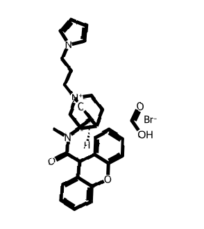 CN(C(=O)C1c2ccccc2Oc2ccccc21)[C@H]1C[N+]2(CCCn3cccc3)CCC1CC2.O=CO.[Br-]